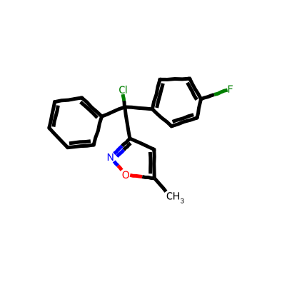 Cc1cc(C(Cl)(c2ccccc2)c2ccc(F)cc2)no1